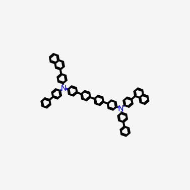 C1=CC(c2ccc(-c3ccc(-c4ccc(N(c5ccc(-c6ccccc6)cc5)c5ccc(-c6ccc7ccccc7c6)cc5)cc4)cc3)cc2)CC=C1N(c1ccc(-c2ccccc2)cc1)c1ccc(-c2cccc3ccccc23)cc1